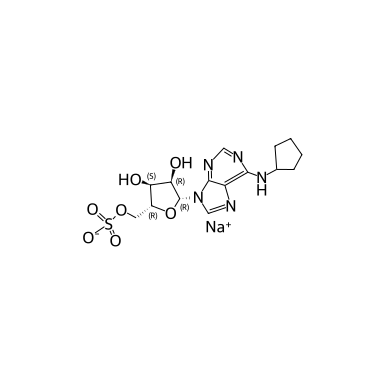 O=S(=O)([O-])OC[C@H]1O[C@@H](n2cnc3c(NC4CCCC4)ncnc32)[C@H](O)[C@@H]1O.[Na+]